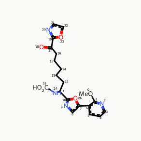 COc1ncccc1-c1cnc(C(CCCCCC(=O)c2ncco2)NC(=O)O)o1